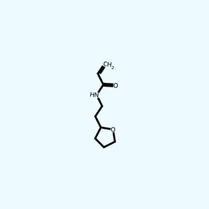 C=CC(=O)NCCC1CCCO1